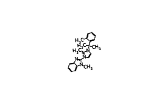 Cc1ccccc1C(C)(C)N1C=CN(c2nc3ccccc3n2C)[C@H]1C